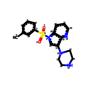 N#Cc1cccc(S(=O)(=O)n2cc(N3CCNCC3)c3ncccc32)c1